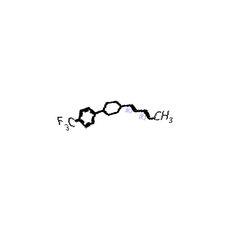 C/C=C/C=C/C1CCC(c2ccc(C(F)(F)F)cc2)CC1